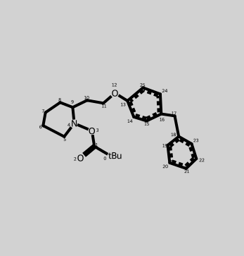 CC(C)(C)C(=O)ON1CCCCC1CCOc1ccc(Cc2ccccc2)cc1